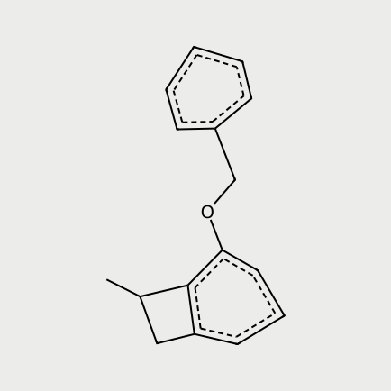 CC1Cc2cccc(OCc3ccccc3)c21